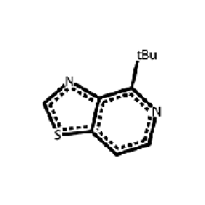 CC(C)(C)c1nccc2scnc12